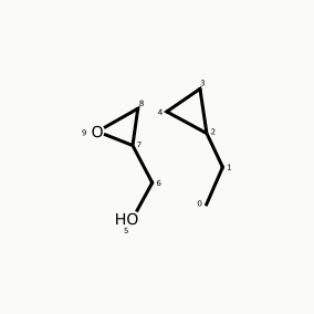 CCC1CC1.OCC1CO1